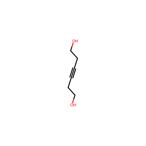 OCCC#CCCO